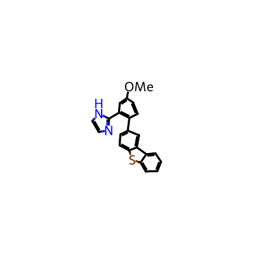 COc1ccc(-c2ccc3sc4ccccc4c3c2)c(-c2ncc[nH]2)c1